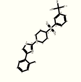 Cc1ccccc1-c1csc(N2CCC(S(=O)(=O)c3cccc(C(F)(F)F)c3)CC2)n1